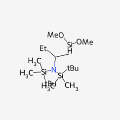 CCC(C[SiH](OC)OC)N([Si](C)(C)C(C)(C)C)[Si](C)(C)C(C)(C)C